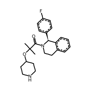 CC(C)(OC1CCNCC1)C(=O)N1CCc2ccccc2[C@@H]1c1ccc(F)cc1